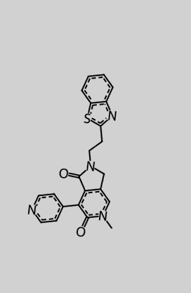 Cn1cc2c(c(-c3ccncc3)c1=O)C(=O)N(CCc1nc3ccccc3s1)C2